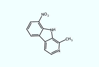 Cc1nccc2c1[nH]c1c([N+](=O)[O-])cccc12